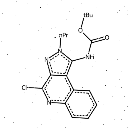 CCCn1nc2c(Cl)nc3ccccc3c2c1NC(=O)OC(C)(C)C